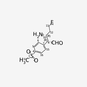 CS(=O)(=O)c1ccc([C@@H](C=O)[C@H](N)CCF)cc1